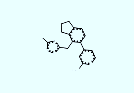 COc1cc(-c2ccc3c(c2Cc2nnc(S)[nH]2)CCC3)ccn1